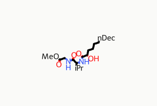 CCCCCCCCCCCCCCC(O)C(=O)NC(C(=O)NCC(=O)OC)C(C)C